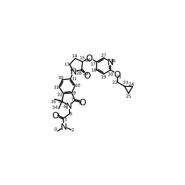 CN(C)C(=O)CN1C(=O)c2cc(N3CC[C@@H](Oc4ccc(OCC5CC5)nc4)C3=O)ccc2C1(C)C